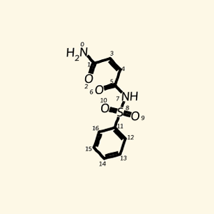 NC(=O)/C=C\C(=O)NS(=O)(=O)c1ccccc1